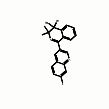 CC1(C)N=C(c2cnc3cc(F)ccc3c2)c2ccccc2C1(Br)Br